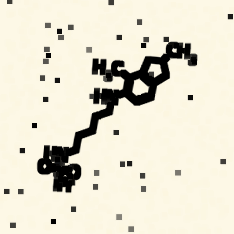 Cc1c(NCCCCCNS(=O)(=O)C(C)C)ccc2c1CC(C)C2